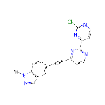 [2H]n1ncc2cc(C#Cc3ccnc(-c4ccnc(Cl)n4)n3)ccc21